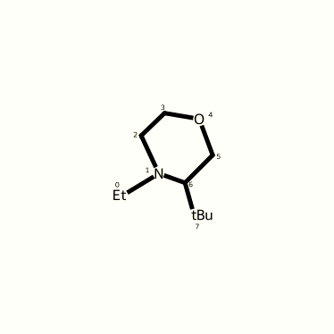 CCN1CCOCC1C(C)(C)C